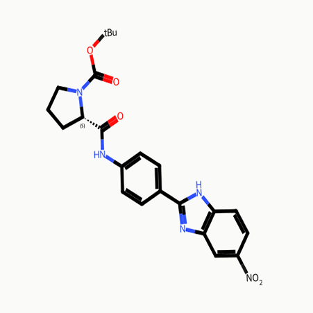 CC(C)(C)OC(=O)N1CCC[C@H]1C(=O)Nc1ccc(-c2nc3cc([N+](=O)[O-])ccc3[nH]2)cc1